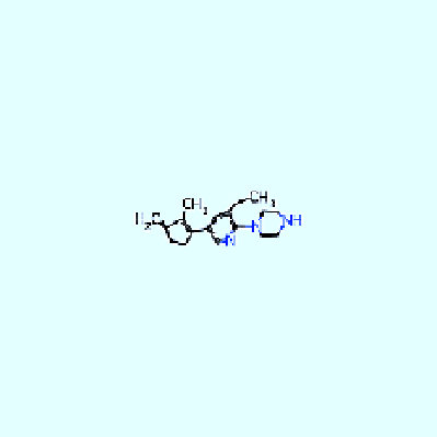 C=C1CCC(c2cnc(N3CCNCC3)c(CC)c2)=C1C